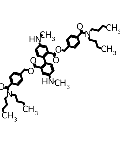 CCCCN(CCCC)C(=O)c1ccc(COC(=O)c2cc(NC)ccc2-c2ccc(NC)cc2C(=O)OCc2ccc(C(=O)N(CCCC)CCCC)cc2)cc1